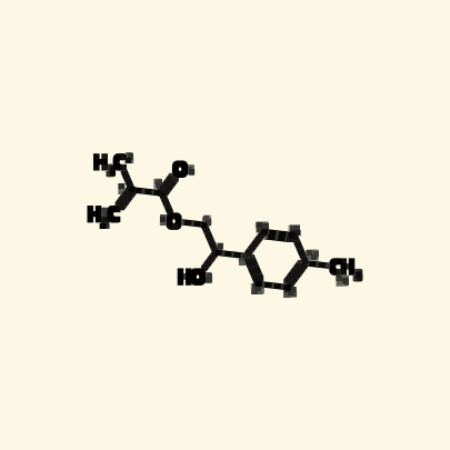 C=C(C)C(=O)OCC(O)c1ccc(C)cc1